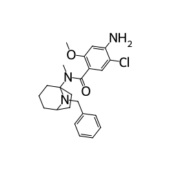 COc1cc(N)c(Cl)cc1C(=O)N(C)C12CCCC(CC1)N2Cc1ccccc1